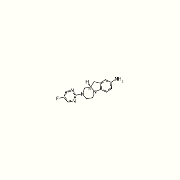 Nc1ccc2c(c1)C[C@H]1CN(c3ncc(F)cn3)CCN21